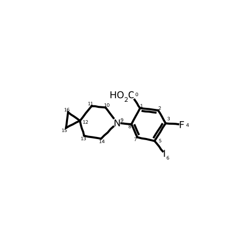 O=C(O)c1cc(F)c(I)cc1N1CCC2(CC1)CC2